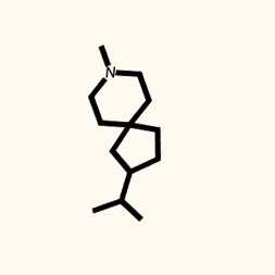 CC(C)C1CCC2(CCN(C)CC2)C1